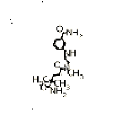 CN(CCNc1cccc(C(N)=O)c1)C(=O)[CH]CC(C)(C)C(N)=O